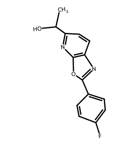 CC(O)c1ccc2nc(-c3ccc(F)cc3)oc2n1